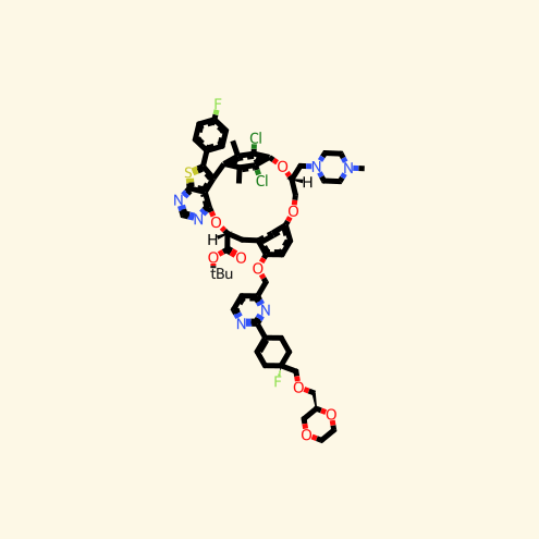 Cc1c(Cl)c2c(Cl)c(C)c1-c1c(-c3ccc(F)cc3)sc3ncnc(c13)O[C@@H](C(=O)OC(C)(C)C)Cc1cc(ccc1OCc1ccnc(C3=CC[C@](F)(COC[C@@H]4COCCO4)CC3)n1)OC[C@@H](CN1CCN(C)CC1)O2